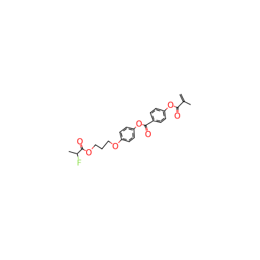 C=C(C)C(=O)Oc1ccc(C(=O)Oc2ccc(OCCCOC(=O)C(C)F)cc2)cc1